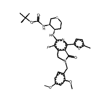 COc1ccc(CN2Cc3c(F)c(N[C@@H]4CCOC[C@@H]4NC(=O)OC(C)(C)C)nc(-c4ccc(C)s4)c3C2=O)c(OC)c1